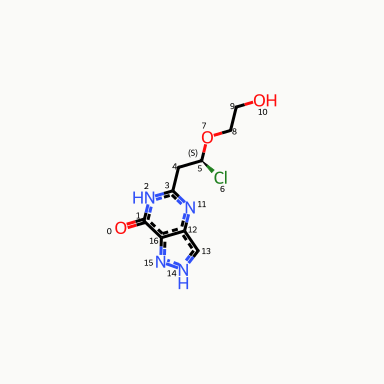 O=c1[nH]c(C[C@H](Cl)OCCO)nc2c[nH]nc12